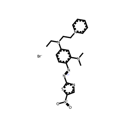 CCN(CC[n+]1ccccc1)c1ccc(/N=N/c2ncc([N+](=O)[O-])s2)c(N(C)C)c1.[Br-]